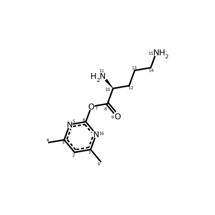 Cc1cc(C)nc(OC(=O)[C@@H](N)CCCN)n1